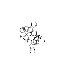 Cc1cc2c(c(C3=C(c4c(-c5ccccc5-c5ccccc5)ccc5[se]c6ccccc6c45)C(c4ccccc4)(c4ccccc4)NN=N3)c1C)Cc1ccccc1-2